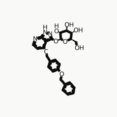 OC[C@H]1O[C@@H](Oc2n[nH]c3nccc(CCc4ccc(OCc5ccccc5)cc4)c23)[C@H](O)[C@@H](O)[C@@H]1O